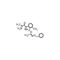 CC(=NOCc1ccccc1)OCc1c(C)cccc1N(N)C(=O)N(C)N